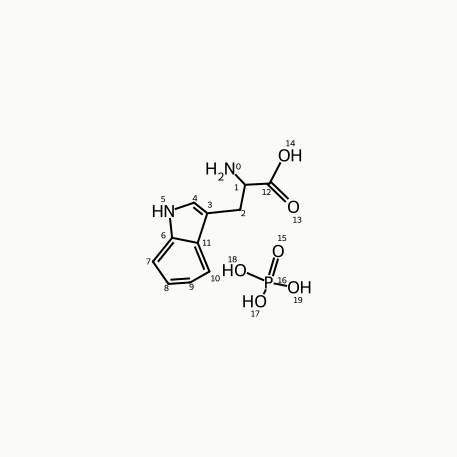 NC(Cc1c[nH]c2ccccc12)C(=O)O.O=P(O)(O)O